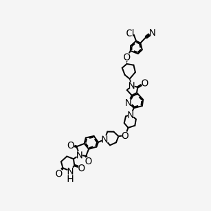 N#Cc1ccc(O[C@H]2CC[C@H](N3Cc4nc(N5CCC(OC6CCN(c7ccc8c(c7)C(=O)N(C7CCC(=O)NC7=O)C8=O)CC6)CC5)ccc4C3=O)CC2)cc1Cl